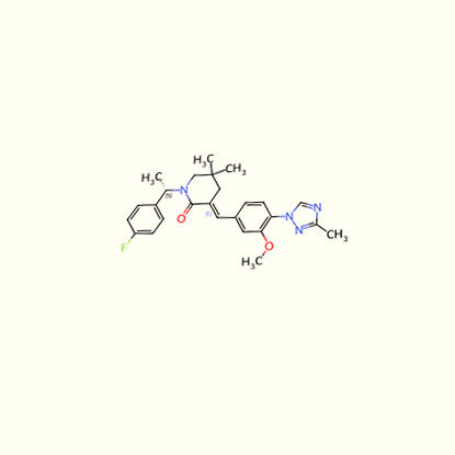 COc1cc(/C=C2\CC(C)(C)CN([C@@H](C)c3ccc(F)cc3)C2=O)ccc1-n1cnc(C)n1